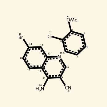 COc1ccccc1Cl.N#Cc1cnc2cc(Br)ccc2c1N